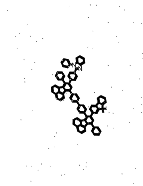 CC1(C)c2ccccc2-c2ccc(-c3cc(-c4ccccc4)c4c(c3-c3ccc(-c5ccc(-c6cc(-c7ccc(-c8nc9ccccc9n8-c8ccccc8)cc7)c(-c7ccccc7)c7c6-c6cccc8cccc-7c68)cc5)cc3)-c3cccc5cccc-4c35)cc21